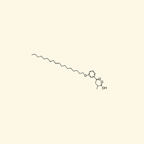 CCCCCCCCCCCCCCCCCCOc1cccc(C(=O)CC(C)C(=O)O)c1